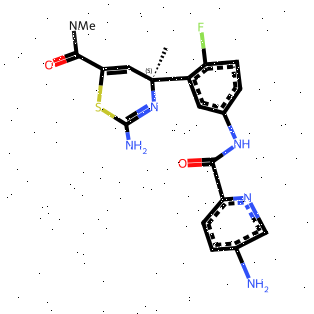 CNC(=O)C1=C[C@@](C)(c2cc(NC(=O)c3ccc(N)cn3)ccc2F)N=C(N)S1